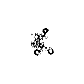 Nc1nc(C(=O)c2ccccc2)nc2c1ncn2[C@@H]1O[C@H](COC2CCCCO2)[C@@H](OC2CCCCO2)[C@@H]1OS(=O)(=O)C(F)(F)F